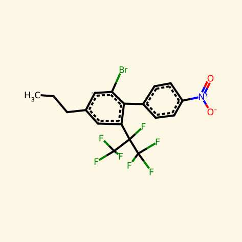 CCCc1[c]c(Br)c(-c2ccc([N+](=O)[O-])cc2)c(C(F)(C(F)(F)F)C(F)(F)F)c1